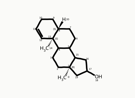 C[C@]12CCC3C(CC[C@H]4CCC=C[C@]34C)C1CC(O)C2